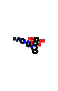 CN1CCN(c2ccc(N3Cc4ccccc4CC4=C3C(=O)c3c(O)ccc(O)c3C4=O)cn2)CC1